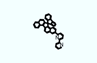 c1ccc(-c2cccc(-c3ccc4c5c(ccc4c3)-c3c(ccc4ccccc34)C53c4ccccc4-c4ccccc43)n2)nc1